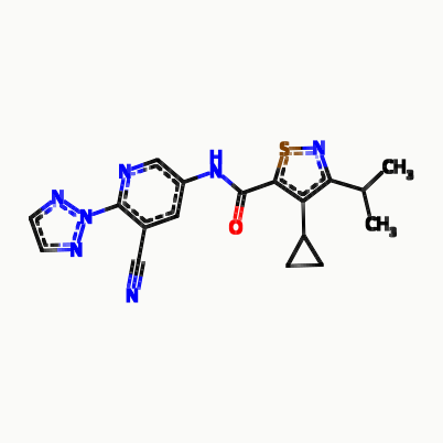 CC(C)c1nsc(C(=O)Nc2cnc(-n3nccn3)c(C#N)c2)c1C1CC1